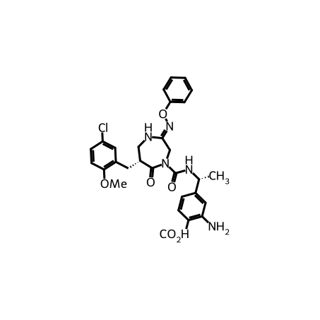 COc1ccc(Cl)cc1C[C@@H]1CN/C(=N\Oc2ccccc2)CN(C(=O)N[C@H](C)c2ccc(C(=O)O)c(N)c2)C1=O